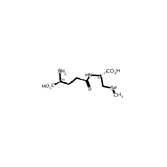 C[Se]C[C@H](NC(=O)CC[C@H](N)C(=O)O)C(=O)O